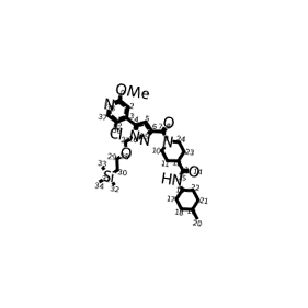 COc1cc(-c2cc(C(=O)N3CCC(C(=O)NC4CCC(C)CC4)CC3)nn2COCC[Si](C)(C)C)c(Cl)cn1